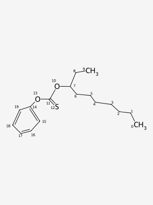 CCCCCCCC(CC)OC(=S)Oc1ccccc1